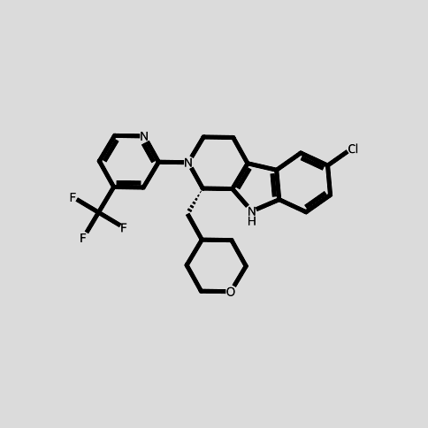 FC(F)(F)c1ccnc(N2CCc3c([nH]c4ccc(Cl)cc34)[C@@H]2CC2CCOCC2)c1